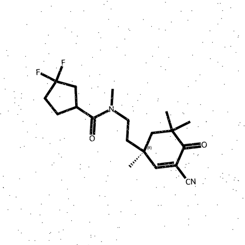 CN(CC[C@]1(C)C=C(C#N)C(=O)C(C)(C)C1)C(=O)C1CCC(F)(F)C1